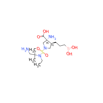 CCN(C(C)(C)CN)S(=O)(=O)N1C[C@H](CCCB(O)O)[C@](N)(C(=O)O)C1